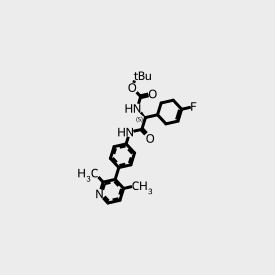 Cc1ccnc(C)c1-c1ccc(NC(=O)[C@@H](NC(=O)OC(C)(C)C)C2CC=C(F)CC2)cc1